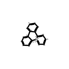 c1ccc2c(c1)c1ccccc1[n+]1ccccc21